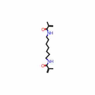 C=C(C)C(=O)NCCCCCCCNC(=O)C(=C)C